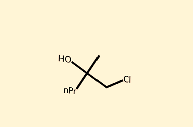 CCCC(C)(O)CCl